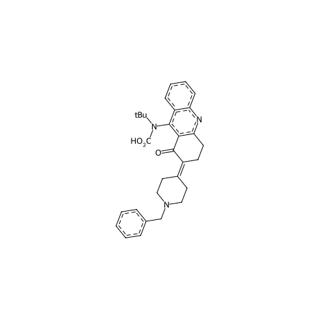 CC(C)(C)N(C(=O)O)c1c2c(nc3ccccc13)CCC(=C1CCN(Cc3ccccc3)CC1)C2=O